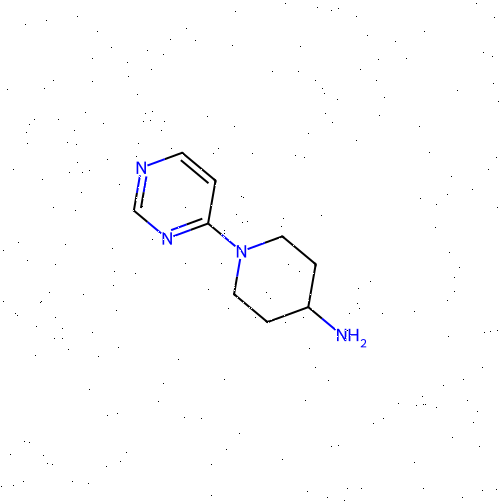 NC1CCN(c2ccncn2)CC1